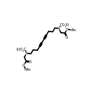 CCCCOC(=O)CN(CCCC#CC#CCCCN(CC(=O)OCCCC)C(=O)OCC)C(=O)OCC